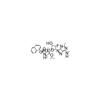 CNc1nc(C)nc2c1ncn2[C@@H]1O[C@H](CO[P@](=O)(N[C@H](C)C(=O)OC(C)C)Oc2cccc3ccccc23)[C@@H](O)[C@@]1(C)F